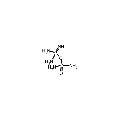 N=P(N)(N)OP(N)(N)=O